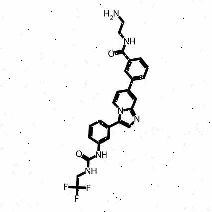 NCCNC(=O)c1cccc(-c2ccn3c(-c4cccc(NC(=O)NCC(F)(F)F)c4)cnc3c2)c1